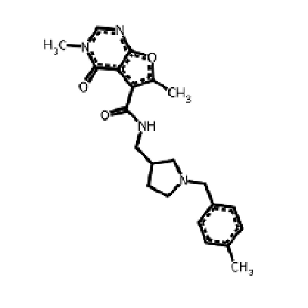 Cc1ccc(CN2CCC(CNC(=O)c3c(C)oc4ncn(C)c(=O)c34)C2)cc1